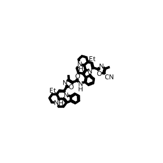 CC[C@@]12C=C(c3nc(C)c(C(=O)Nc4cccc5c4c4c6n5C(c5nc(C)c(C#N)o5)=C[C@]5(CC)CCCN(CC4)[C@H]65)o3)n3c4c(c5ccccc53)CCN(CCC1)[C@H]42